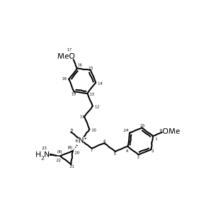 COc1ccc(CCC[N+](C)(CCCc2ccc(OC)cc2)[C@@H]2C[C@H]2N)cc1